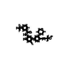 COC(C)(C)C#Cc1ncc(-c2cc(NC(=O)c3ccnc(C(F)(F)F)c3)c(F)cc2C)cc1N1CCOCC1